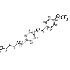 CCOCCC/N=C/c1ccc(OCc2ccc(OC(F)(F)F)cc2)cc1